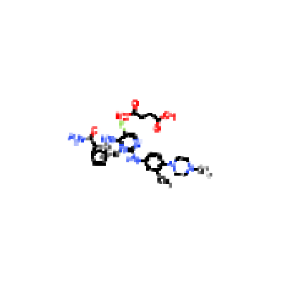 Cc1cc(Nc2ncc(F)c(N[C@H]3C(C(N)=O)C4C=C[C@H]3C4)n2)ccc1N1CCN(C)CC1.O=C(O)CCC(=O)O